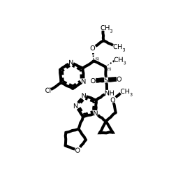 COCC1(n2c(NS(=O)(=O)[C@@H](C)[C@@H](OC(C)C)c3ncc(Cl)cn3)nnc2C2CCOC2)CC1